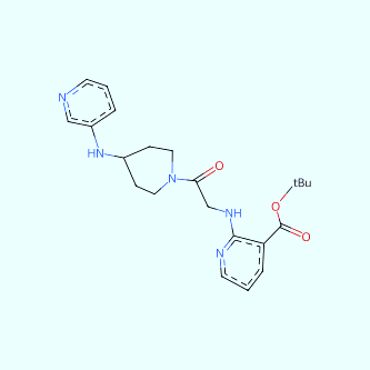 CC(C)(C)OC(=O)c1cccnc1NCC(=O)N1CCC(Nc2cccnc2)CC1